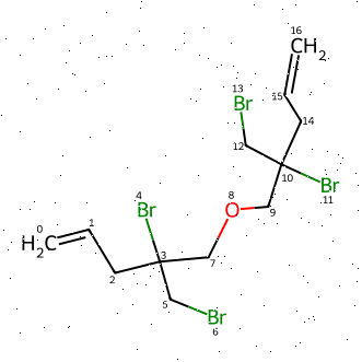 C=CCC(Br)(CBr)COCC(Br)(CBr)CC=C